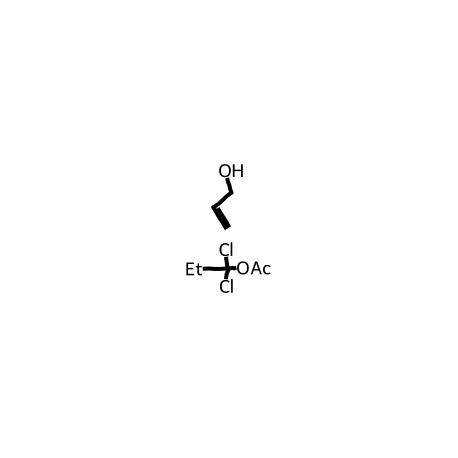 C=CCO.CCC(Cl)(Cl)OC(C)=O